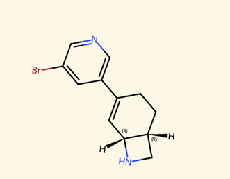 Brc1cncc(C2=C[C@H]3NC[C@H]3CC2)c1